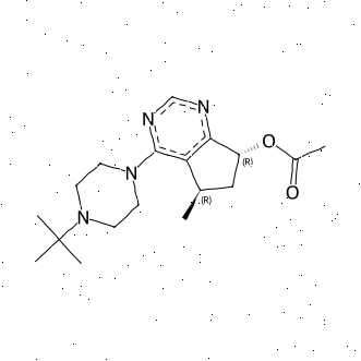 CC(=O)O[C@@H]1C[C@@H](C)c2c1ncnc2N1CCN(C(C)(C)C)CC1